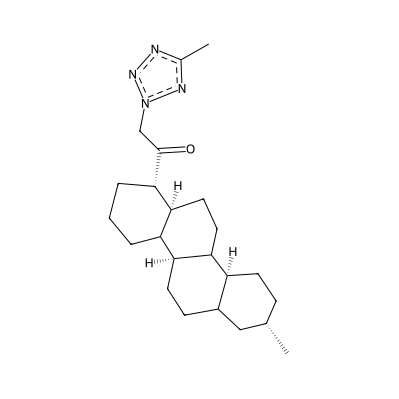 Cc1nnn(CC(=O)[C@H]2CCCC3[C@@H]4CCC5C[C@@H](C)CC[C@@H]5C4CC[C@@H]32)n1